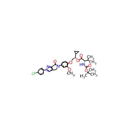 COc1cc(N2Cc3cn(-c4ccc(Cl)cc4)nc3C2=O)ccc1OC[C@H](OC(=O)[C@@H](NC(=O)OC(C)(C)C)C(C)C)C1CC1